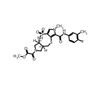 COC(=O)C(=O)N1C[C@H]2CSc3c(cn(C)c3C(=O)Nc3ccc(F)c(C)c3)S(=O)(=O)N[C@H]2C1